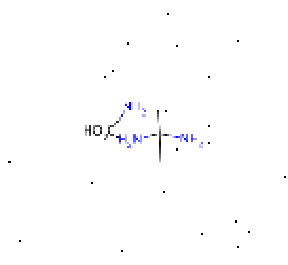 CC(C)(N)N.NC(=O)O